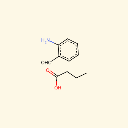 CCCC(=O)O.Nc1ccccc1C=O